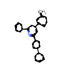 Cc1cccc(-c2cc(-c3ccccc3)nc(-c3ccc(-c4ccccc4)cc3)c2)c1